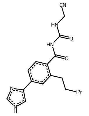 CC(C)CCc1cc(-c2c[nH]cn2)ccc1C(=O)NC(=O)NCC#N